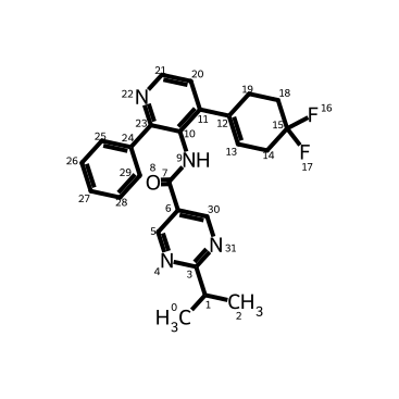 CC(C)c1ncc(C(=O)Nc2c(C3=CCC(F)(F)CC3)ccnc2-c2ccccc2)cn1